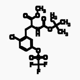 COC(=O)C(Cc1cc(OS(=O)(=O)C(F)(F)F)ccc1Cl)NC(=O)OC(C)(C)C